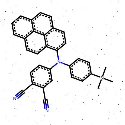 C[Si](C)(C)c1ccc(N(c2ccc(C#N)c(C#N)c2)c2ccc3ccc4cccc5ccc2c3c45)cc1